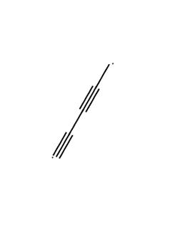 [C]#CC#C[CH2]